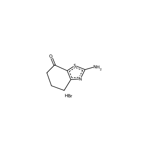 Br.Nc1nc2c(s1)C(=O)CCC2